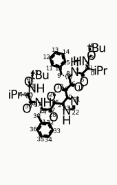 CC(C)[C@H](NOC(C)(C)C)C(=O)N[C@@H](Cc1ccccc1)C(=O)C(=O)C1N=CNC1C(=O)C(=O)[C@H](Cc1ccccc1)NC(=O)[C@@H](NOC(C)(C)C)C(C)C